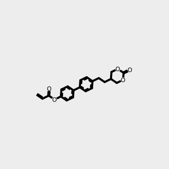 C=CC(=O)Oc1ccc(-c2ccc(CCC3COC(=O)OC3)cc2)cc1